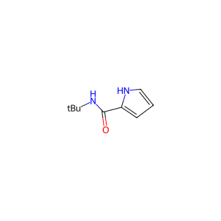 CC(C)(C)NC(=O)c1ccc[nH]1